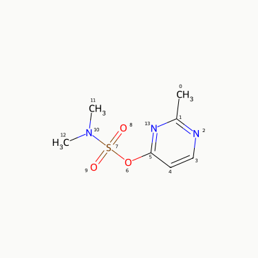 Cc1nccc(OS(=O)(=O)N(C)C)n1